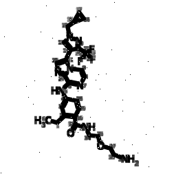 CCc1cc(Nc2nccn3c(-c4cn(CC5CC5)nc4C(F)(F)F)cnc23)ccc1C(=O)NCCOCCN